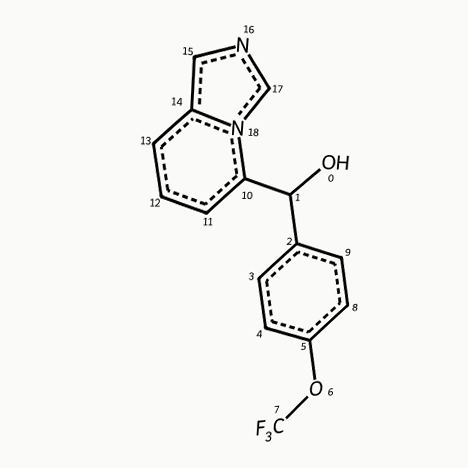 OC(c1ccc(OC(F)(F)F)cc1)c1cccc2cncn12